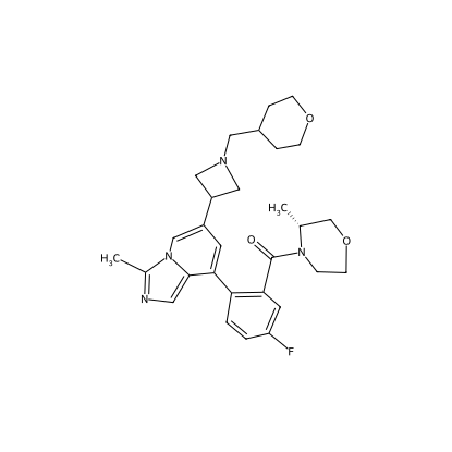 Cc1ncc2c(-c3ccc(F)cc3C(=O)N3CCOC[C@H]3C)cc(C3CN(CC4CCOCC4)C3)cn12